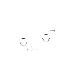 O=C(O)Cc1ccc(CCNS(=O)(=O)C(=O)c2ccccc2)cc1